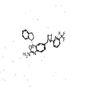 NC1=Nc2ccc(Nc3cccc(C(F)(F)F)n3)cc2[C@@H](C2CCc3ccccc32)O1